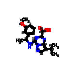 COc1cccc(C(C)Nc2nc(C(=O)O)nc3c(C(C)C)cnn23)c1